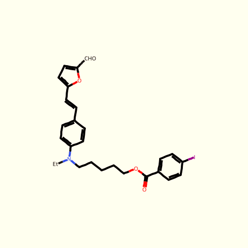 CCN(CCCCCOC(=O)c1ccc(I)cc1)c1ccc(/C=C/c2ccc(C=O)o2)cc1